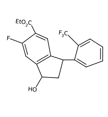 CCOC(=O)c1cc2c(cc1F)C(O)CC2c1ccccc1C(F)(F)F